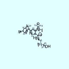 CC(C)(O)C(F)CNC(=O)c1cnc(-c2cnc3cc(C#N)cnn23)cc1NC1COC1